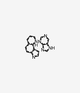 c1c[nH]c2c(c1)ccc1nccc12.c1ncc2[nH]cnc2n1